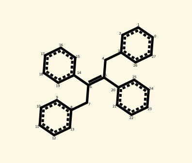 c1ccc(CC(=C(Cc2ccccc2)c2ccccc2)c2ccccc2)cc1